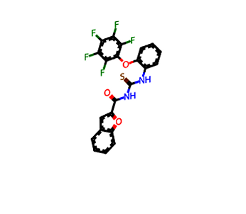 O=C(NC(=S)Nc1ccccc1Oc1c(F)c(F)c(F)c(F)c1F)c1cc2ccccc2o1